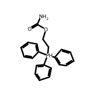 NC(=O)OCC[PH](c1ccccc1)(c1ccccc1)c1ccccc1